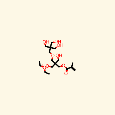 C=C(C)C(=O)OCC(CO)(CO)COCC(CO)(CO)CO.CCOCC